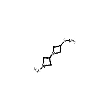 CN1CC(N2CC(SN)C2)C1